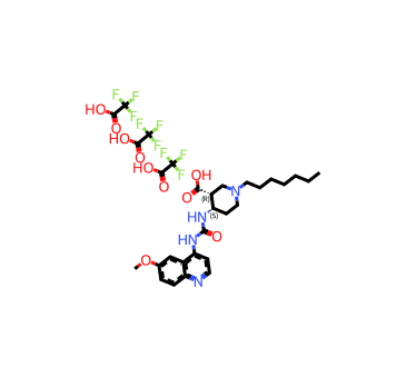 CCCCCCCN1CC[C@H](NC(=O)Nc2ccnc3ccc(OC)cc23)[C@H](C(=O)O)C1.O=C(O)C(F)(F)F.O=C(O)C(F)(F)F.O=C(O)C(F)(F)F